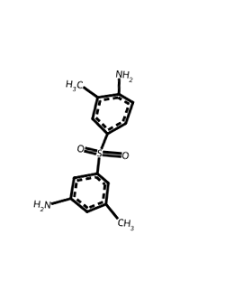 Cc1cc(N)cc(S(=O)(=O)c2ccc(N)c(C)c2)c1